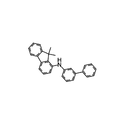 CC1(C)c2ccccc2-c2cccc(Nc3cccc(-c4ccccc4)c3)c21